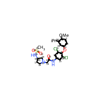 COc1ccc(Oc2c(Cl)cc(NC(=O)CN3CC[C@@H](NS(C)(=O)=O)C3)cc2Cl)cc1C(C)C